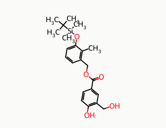 Cc1c(COC(=O)c2ccc(O)c(CO)c2)cccc1O[Si](C)(C)C(C)(C)C